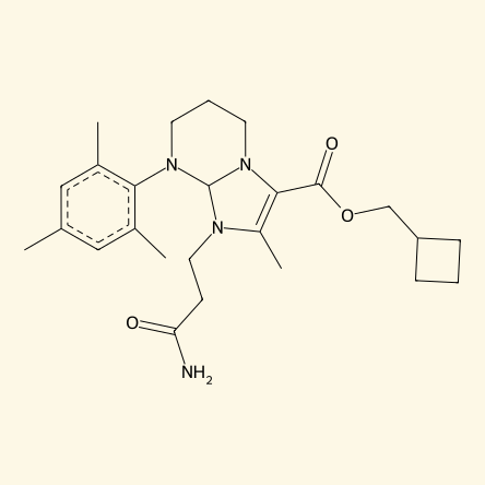 CC1=C(C(=O)OCC2CCC2)N2CCCN(c3c(C)cc(C)cc3C)C2N1CCC(N)=O